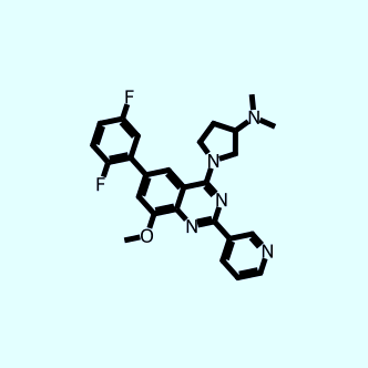 COc1cc(-c2cc(F)ccc2F)cc2c(N3CCC(N(C)C)C3)nc(-c3cccnc3)nc12